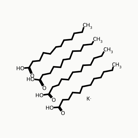 CCCCCCCCCCCC(=O)O.CCCCCCCCCCCC(=O)O.CCCCCCCCCCCC(=O)O.CCCCCCCCCCCC(=O)O.[K]